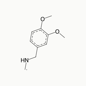 [CH2]NCc1ccc(OC)c(OC)c1